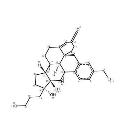 CCc1ccc2c(c1)C[C@]13CCC(=O)C=C1CC[C@@H]1[C@@H]3[C@@H]2C[C@@]2(C)[C@@H]1CC[C@]2(O)CCCO